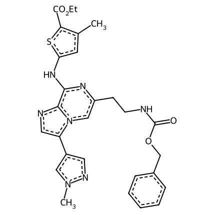 CCOC(=O)c1sc(Nc2nc(CCNC(=O)OCc3ccccc3)cn3c(-c4cnn(C)c4)cnc23)cc1C